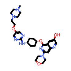 CN1CCN(CCOc2cnc(N[C@H]3CC[C@@H](Oc4nc(N5CCOCC5)cc5ncc(O)cc45)CC3)nc2)CC1